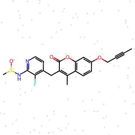 CC#CCOc1ccc2c(C)c(Cc3ccnc(N[S+](C)[O-])c3F)c(=O)oc2c1